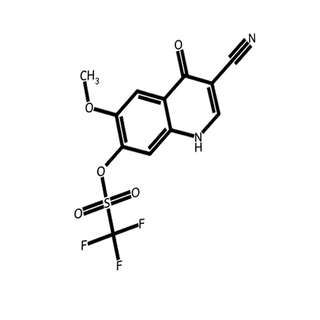 COc1cc2c(=O)c(C#N)c[nH]c2cc1OS(=O)(=O)C(F)(F)F